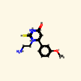 COc1cccc(-c2cc(=O)[nH]c(=S)n2CCN)c1